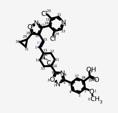 COc1ccc(-c2noc(C34CCC(/C=C/c5c(-c6c(Cl)cncc6Cl)noc5C5CC5)(CC3)CC4)n2)cc1C(=O)O